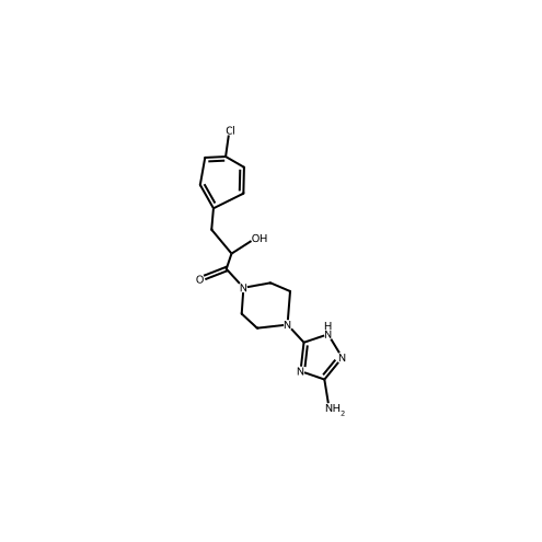 Nc1n[nH]c(N2CCN(C(=O)C(O)Cc3ccc(Cl)cc3)CC2)n1